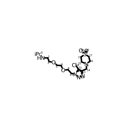 CC(C)NCCOCCOCCn1nnc(CN2CCS(=O)(=O)CC2)c1Cl